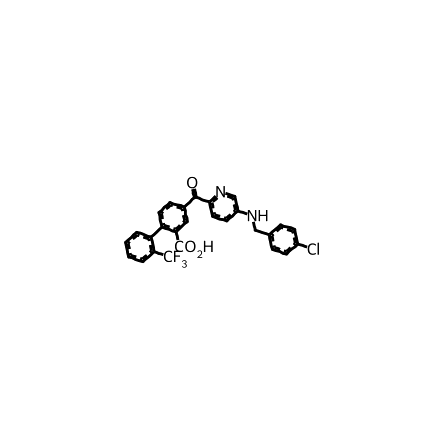 O=C(c1ccc(-c2ccccc2C(F)(F)F)c(C(=O)O)c1)c1ccc(NCc2ccc(Cl)cc2)cn1